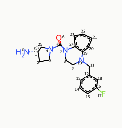 N[C@H]1CCN(C(=O)N2CCN(Cc3cccc(F)c3)c3ccccc32)C1